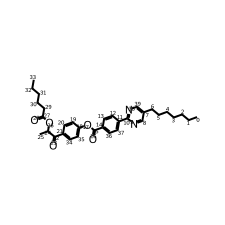 CCCCCCCc1cnc(-c2ccc(C(=O)Oc3ccc(C(=O)C(C)OC(=O)CCCCC)cc3)cc2)nc1